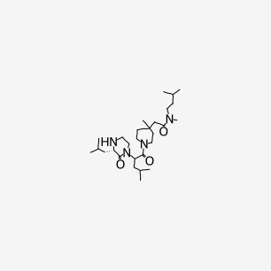 CC(C)CCN(C)C(=O)CC1(C)CCN(C(=O)C(CC(C)C)N2CCN[C@@H](CC(C)C)C2=O)CC1